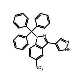 O=[N+]([O-])c1ccc2c(c1)c(-c1cn[nH]c1)nn2C(c1ccccc1)(c1ccccc1)c1ccccc1